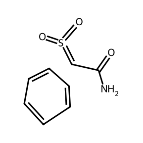 NC(=O)C=S(=O)=O.c1ccccc1